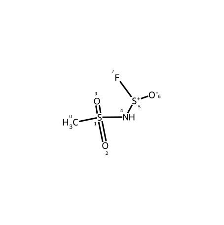 CS(=O)(=O)N[S+]([O-])F